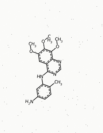 COc1cc2c(Nc3cc(N)ccc3C)ncnc2c(OC)c1OC